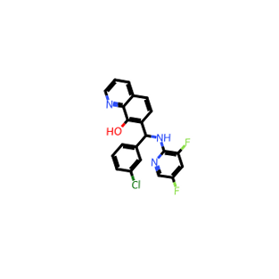 Oc1c(C(Nc2ncc(F)cc2F)c2cccc(Cl)c2)ccc2cccnc12